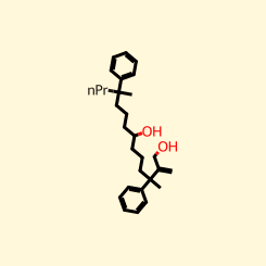 C=C(CO)C(C)(CCCC(O)CCCC(C)(CCC)c1ccccc1)c1ccccc1